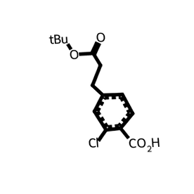 CC(C)(C)OC(=O)CCc1ccc(C(=O)O)c(Cl)c1